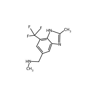 CNCc1cc(C(F)(F)F)c2[nH]c(C)nc2c1